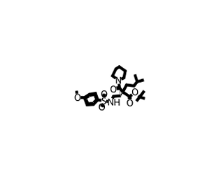 COc1ccc(S(=O)(=O)NCC[C@](CCC(C)C)(C(=O)OC(C)(C)C)C(=O)N2CCCCC2)cc1